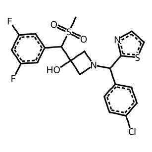 CS(=O)(=O)C(c1cc(F)cc(F)c1)C1(O)CN(C(c2ccc(Cl)cc2)c2nccs2)C1